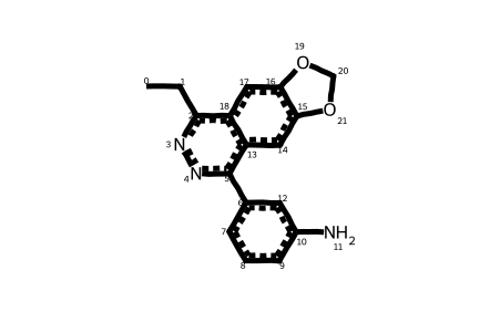 CCc1nnc(-c2cccc(N)c2)c2cc3c(cc12)OCO3